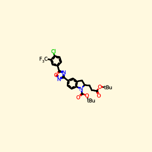 CC(C)(C)OC(=O)CCC1Cc2cc(-c3noc(-c4ccc(Cl)c(C(F)(F)F)c4)n3)ccc2N1C(=O)OC(C)(C)C